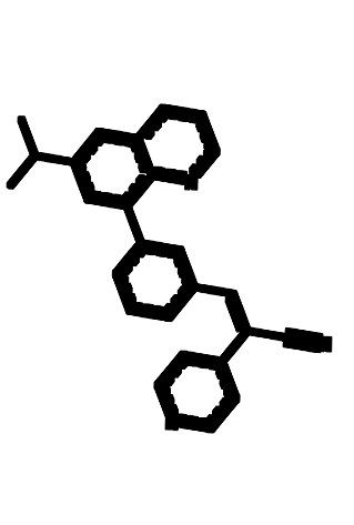 CC(C)c1cc(-c2cccc(/C=C(/C#N)c3ccncc3)c2)c2ncccc2c1